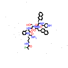 CC(F)C(=O)NCCCC[C@H](NC(=O)[C@H](Cc1ccccc1)NC(=O)[C@H](CO)NC(=O)C(CC1C=c2ccccc2=CC1)NC(=O)[C@@H](Cc1ccc2ccccc2c1)NC(=O)C1CCNCC1)C(N)=O